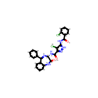 O=C(Nc1[nH]nc(C(=O)N[C@H]2N=C(c3ccccc3)c3ccccc3NC2=O)c1Cl)c1ccccc1Cl